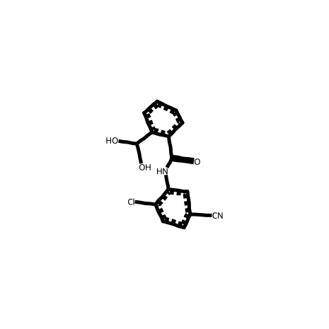 N#Cc1ccc(Cl)c(NC(=O)c2ccccc2C(O)O)c1